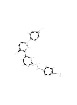 O=c1ccn(-c2ccc(F)cc2)nc1-c1ccnc(SCc2ccc(C(F)(F)F)cc2)n1